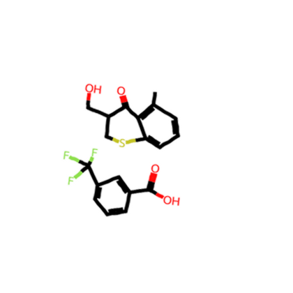 Cc1cccc2c1C(=O)C(CO)CS2.O=C(O)c1cccc(C(F)(F)F)c1